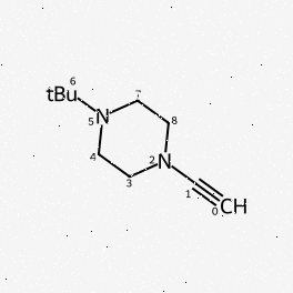 C#CN1CCN(C(C)(C)C)CC1